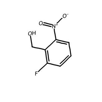 O=[N+]([O-])c1cccc(F)c1CO